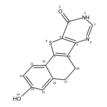 O=c1[nH]cnc2c3c(sc12)-c1ccc(O)cc1CC3